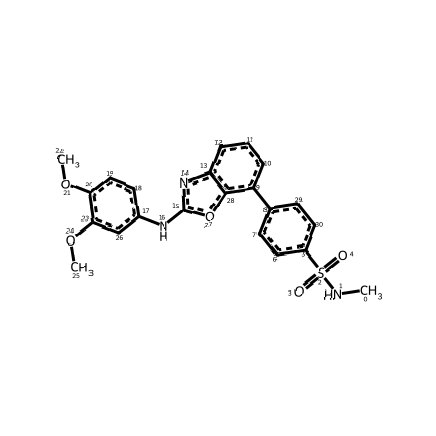 CNS(=O)(=O)c1ccc(-c2cccc3nc(Nc4ccc(OC)c(OC)c4)oc23)cc1